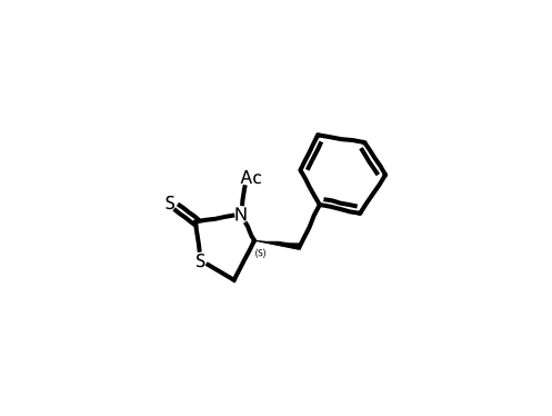 CC(=O)N1C(=S)SC[C@@H]1Cc1ccccc1